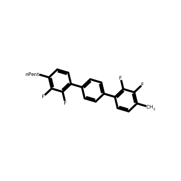 CCCCCc1ccc(-c2ccc(-c3ccc(C)c(F)c3F)cc2)c(F)c1F